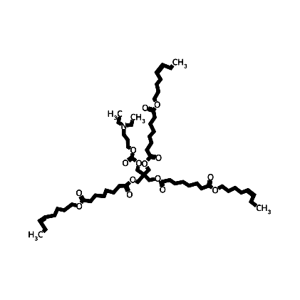 CC/C=C\CCCCOC(=O)CCCCCCC(=O)OCC(COC(=O)CCCCCCC(=O)OCCCC/C=C\CC)(COC(=O)CCCCCCC(=O)OCCCC/C=C\CC)COC(=O)OCCCN(CC)CC